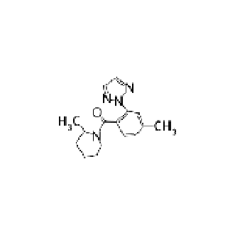 Cc1ccc(C(=O)N2CCCCC2C)c(-n2nccn2)c1